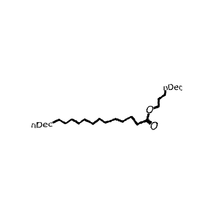 CCCCCCCCCCCCCCCCCCCCCCC(=O)OCCCCCCCCCCCCC